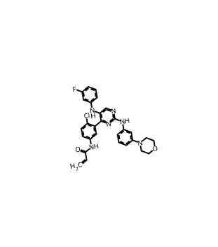 C=CC(=O)Nc1ccc(Cl)c(-c2nc(Nc3cccc(N4CCOCC4)c3)ncc2Nc2cccc(F)c2)c1